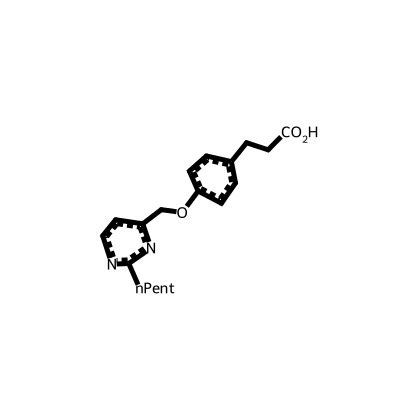 CCCCCc1nccc(COc2ccc(CCC(=O)O)cc2)n1